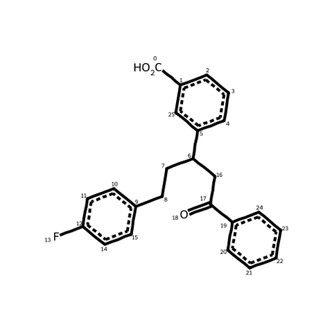 O=C(O)c1cccc(C(CCc2ccc(F)cc2)CC(=O)c2ccccc2)c1